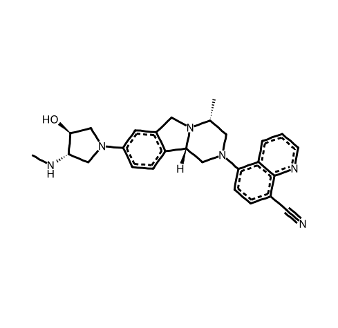 CN[C@H]1CN(c2ccc3c(c2)CN2[C@H](C)CN(c4ccc(C#N)c5ncccc45)C[C@H]32)C[C@@H]1O